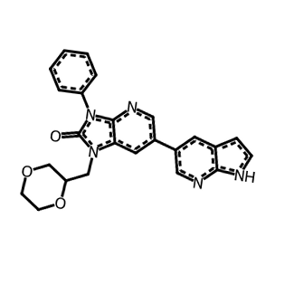 O=c1n(CC2COCCO2)c2cc(-c3cnc4[nH]ccc4c3)cnc2n1-c1ccccc1